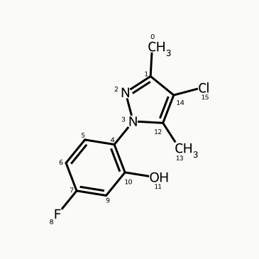 Cc1nn(-c2ccc(F)cc2O)c(C)c1Cl